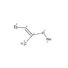 CC/C=C(\C)O[NH]